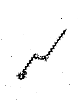 CCCCCCCCCCCCCCCCCCOC(C)(C)COCCCC(CC)CCCCCCCCCC(=O)ON1C(C)(C)CCCC1(C)C